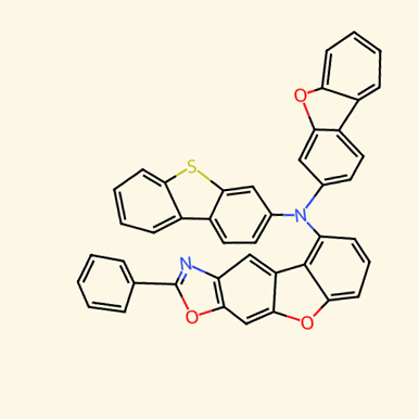 c1ccc(-c2nc3cc4c(cc3o2)oc2cccc(N(c3ccc5c(c3)oc3ccccc35)c3ccc5c(c3)sc3ccccc35)c24)cc1